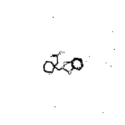 O=C(O)CC1(CN2Oc3ccccc3O2)CCCCC1